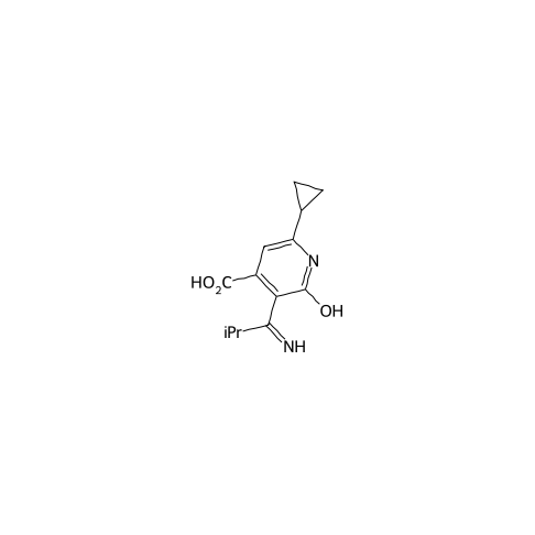 CC(C)C(=N)c1c(C(=O)O)cc(C2CC2)nc1O